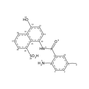 Cc1ccc(N)c(C(=O)Nc2ccc(O)c3cccc(S(=O)(=O)O)c23)c1